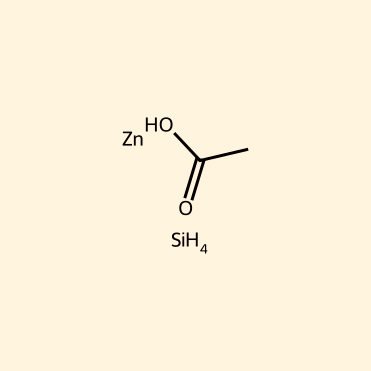 CC(=O)O.[SiH4].[Zn]